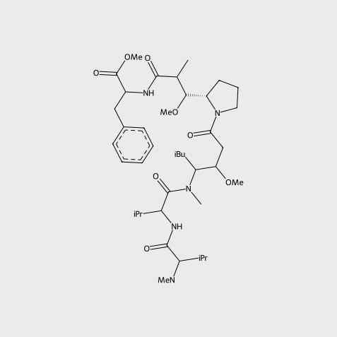 CCC(C)C(C(CC(=O)N1CCC[C@H]1C(OC)C(C)C(=O)NC(Cc1ccccc1)C(=O)OC)OC)N(C)C(=O)C(NC(=O)C(NC)C(C)C)C(C)C